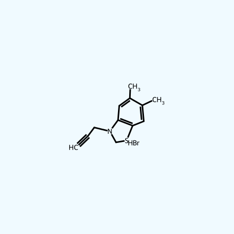 Br.C#CCN1CSc2cc(C)c(C)cc21